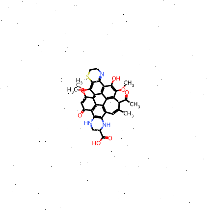 COC1=CC(=O)c2c3c(c4c5c2c1c1c(OC)c2c(c6c(O)c(OC)c(c5c16)C(C(C)=O)C(C)=C4)=NCCS2)NC(C(=O)O)CN3